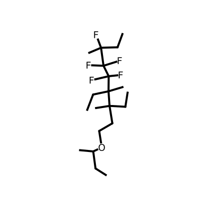 CCC(C)OCCC(C)(CC)C(C)(CC)C(F)(F)C(F)(F)C(C)(F)CC